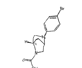 O=C(O)N1CC2C[C@H]1CN2c1ccc(Br)cc1